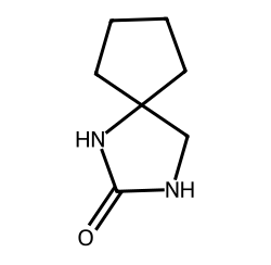 O=C1NCC2(CCCC2)N1